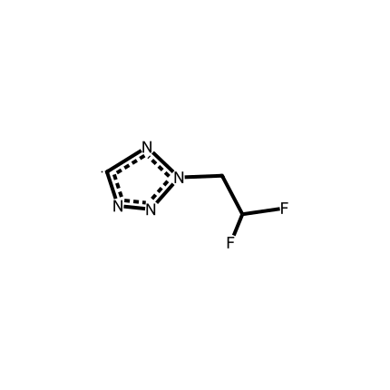 FC(F)Cn1n[c]nn1